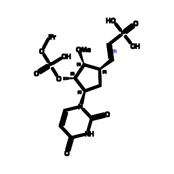 CO[C@H]1[C@@H](OP(=O)(O)OC(C)C)[C@H](n2ccc(=O)[nH]c2=O)C[C@@H]1/C=C/P(=O)(O)O